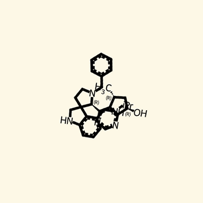 CC(C)NCc1cccc2c1C1(CCN(Cc3ccccc3)[C@H]1c1ncnc3c1[C@H](C)C[C@H]3O)CN2